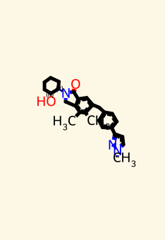 Cc1c(Cc2ccc(-c3ccn(C)n3)cc2)cc2c(c1C)CN([C@@H]1CCCC[C@H]1O)C2=O